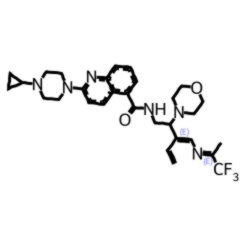 C=C/C(=C\N=C(/C)C(F)(F)F)C(CNC(=O)c1cccc2nc(N3CCN(C4CC4)CC3)ccc12)N1CCOCC1